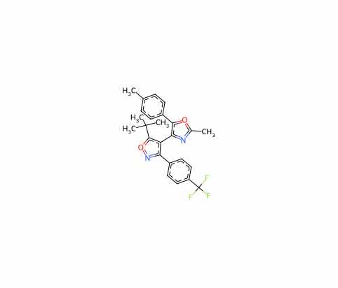 Cc1ccc(-c2oc(C)nc2-c2c(-c3ccc(C(F)(F)F)cc3)noc2C(C)(C)C)cc1